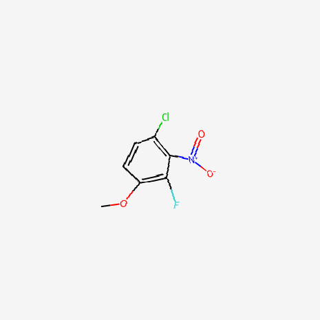 COc1ccc(Cl)c([N+](=O)[O-])c1F